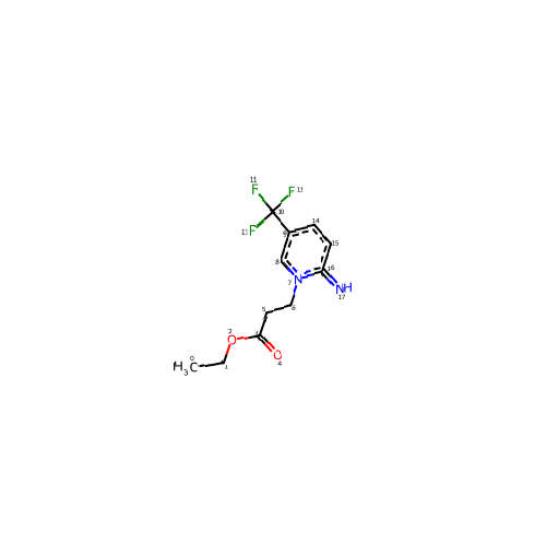 CCOC(=O)CCn1cc(C(F)(F)F)ccc1=N